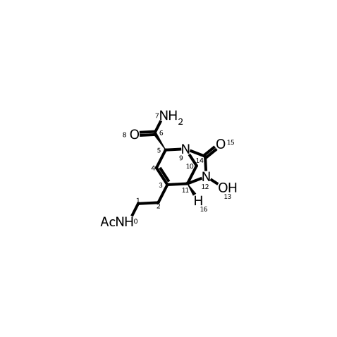 CC(=O)NCCC1=C[C@@H](C(N)=O)N2C[C@@H]1N(O)C2=O